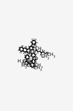 C=C/C(=C\C=C(/C)N1c2cc3oc4cc5c(cc4c3cc2B2c3c(cc4c(oc6ccccc64)c31)-c1cc3ccccc3cc1N2c1ccc(C(C)(C)C)cc1)C(C)(C)CCC5(C)C)CCCC